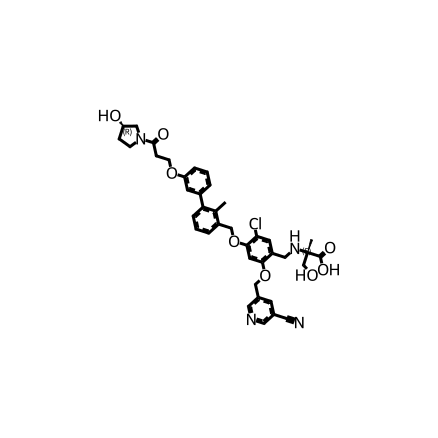 Cc1c(COc2cc(OCc3cncc(C#N)c3)c(CN[C@@](C)(CO)C(=O)O)cc2Cl)cccc1-c1cccc(OCCC(=O)N2CC[C@@H](O)C2)c1